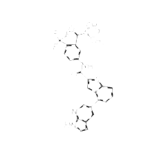 CN(C)C(=O)c1cc(NC(=O)c2cc3c(-c4cnc5[nH]ccc5c4)cccc3s2)ccc1C(F)(F)F